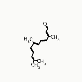 CC(C)=CC=CC(C)=CC=CC(C)=CC=O